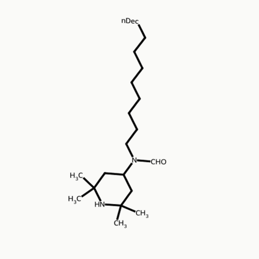 CCCCCCCCCCCCCCCCCCN(C=O)C1CC(C)(C)NC(C)(C)C1